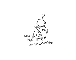 CC(=O)O[C@H]1C[C@H](C(C)=O)[C@]2(C)[C@@H]1[C@@H]1CCC3=CC(=O)CC[C@]3(C)[C@H]1C[C@H]2OC(C)=O